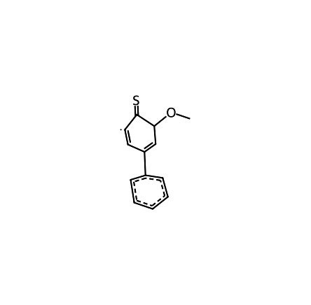 COC1C=C(c2ccccc2)C=[C]C1=S